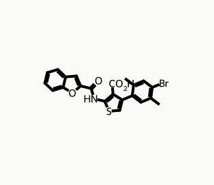 Cc1cc(-c2csc(NC(=O)c3cc4ccccc4o3)c2C(=O)O)c(C)cc1Br